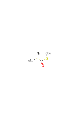 CCCCSC(=O)SCCCC.[Ni]